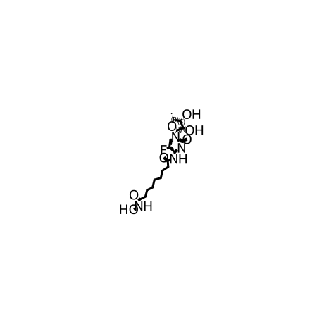 C[C@H]1O[C@@H](n2cc(F)c(NC(=O)CCCCCCCC(=O)NO)nc2=O)[C@H](O)[C@@H]1O